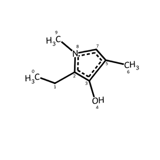 CCc1c(O)c(C)cn1C